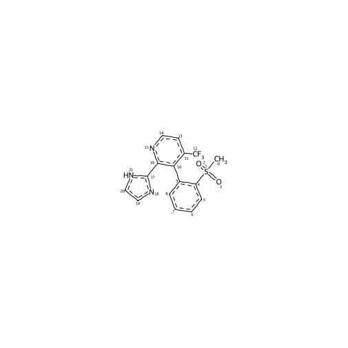 CS(=O)(=O)c1ccccc1-c1c(C(F)(F)F)ccnc1-c1ncc[nH]1